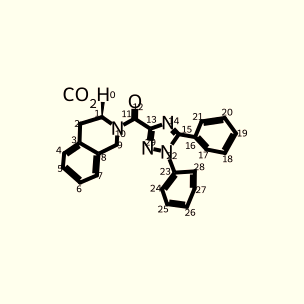 O=C(O)[C@@H]1Cc2ccccc2CN1C(=O)c1nc(-c2ccccc2)n(-c2ccccc2)n1